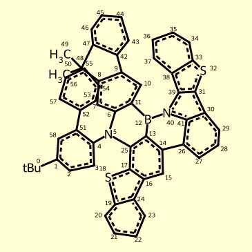 CC(C)(C)c1ccc(N2c3cc4c(cc3B3c5c(cc6c(sc7ccccc76)c52)-c2cccc5c6sc7ccccc7c6n3c25)-c2ccccc2C4(C)C)c(-c2ccccc2)c1